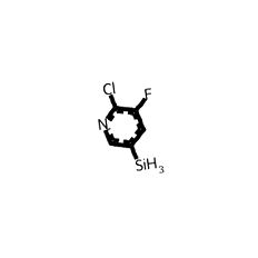 Fc1cc([SiH3])cnc1Cl